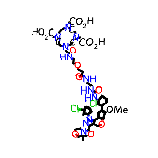 COc1cc2c(cc1-c1cccc(NC(=O)NCCNC(=O)CCOCCNC(=O)CN3CCN(CC(=O)O)CCN(CC(=O)O)CCN(CC(=O)O)CC3)c1)-c1c(c(C(=O)N3CCOCC3(C)C)nn1-c1cc(Cl)cc(Cl)c1)CO2